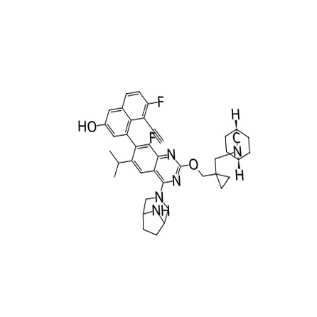 C#Cc1c(F)ccc2cc(O)cc(-c3c(C(C)C)cc4c(N5CC6CCC(C5)N6)nc(OCC5(CN6C[C@H]7CC[C@@H]6CC7)CC5)nc4c3F)c12